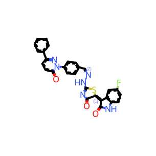 O=C1N=C(N/N=C\c2ccc(-n3nc(-c4ccccc4)ccc3=O)cc2)S/C1=C1/C(=O)Nc2ccc(F)cc21